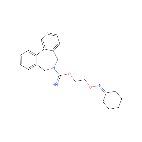 N=C(OCCON=C1CCCCC1)N1Cc2ccccc2-c2ccccc2C1